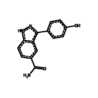 NC(=O)c1ccc2[nH]nc(-c3ccc(O)cc3)c2c1